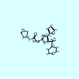 O=C(CN1CCSC1)Nc1nc(-c2ccco2)c(C(=O)C2CCOCC2)s1